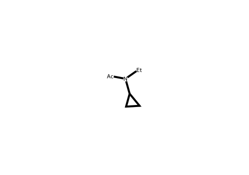 [CH2]CN(C(C)=O)C1CC1